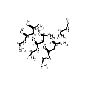 CCOC(=O)CC(C)=O.CCOC(=O)CC(C)=O.CCOC(=O)CC(C)=O.CC[O][Ti]